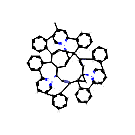 Cc1cc2[n+]3cc1-c1ccccc1C1=CC34C3=CC5C1c1ccccc1-c1ccc6c[n+]1C5/C=C(/c1ccccc1-6)C15CC16/C=C(/c1ccccc1-c1ccc([n+]6c1)-c1ccccc15)C34c1ccccc1-2